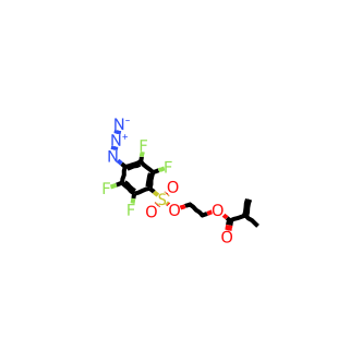 C=C(C)C(=O)OCCOS(=O)(=O)c1c(F)c(F)c(N=[N+]=[N-])c(F)c1F